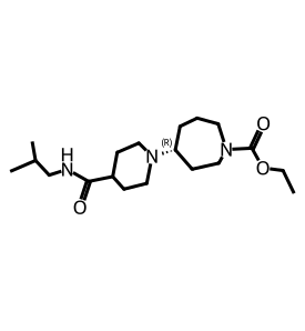 CCOC(=O)N1CCC[C@@H](N2CCC(C(=O)NCC(C)C)CC2)CC1